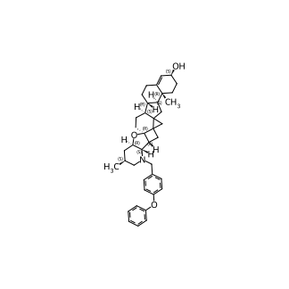 C[C@H]1C[C@H]2O[C@@]34CC[C@H]5[C@@H]6CCC7=C[C@@H](O)CC[C@]7(C)[C@H]6CC56CC63C[C@@H]4[C@@H]2N(Cc2ccc(Oc3ccccc3)cc2)C1